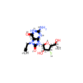 C#CCn1c(=O)n([C@@H]2O[C@H]([C@H](O)CC)[C@H](F)[C@H]2O)c2nc(N)[nH]c(=O)c21